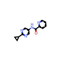 O=C(Nc1cnc(C2CC2)nc1)c1ccccn1